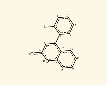 Cc1ccccc1-c1cc(=O)oc2ccccc12